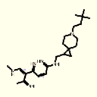 CN/C=C(\C(C)=N)C(=N)/C=C\C(=N)NCC1CC12CCN(CCC(C)(C)C)CC2